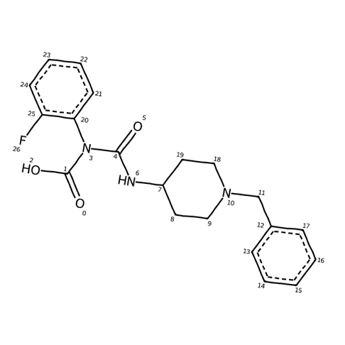 O=C(O)N(C(=O)NC1CCN(Cc2ccccc2)CC1)c1ccccc1F